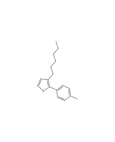 CCCCCCc1ccsc1-c1ccc(C)cc1